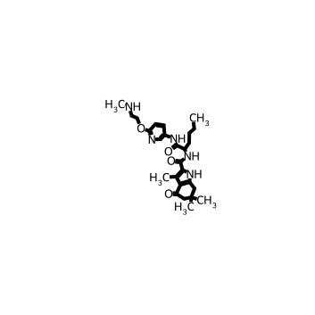 CCCCC(NC(=O)c1[nH]c2c(c1C)C(=O)CC(C)(C)C2)C(=O)Nc1ccc(OCCNC)nc1